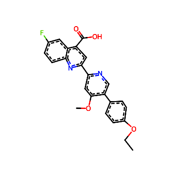 CCOc1ccc(-c2cnc(-c3cc(C(=O)O)c4cc(F)ccc4n3)cc2OC)cc1